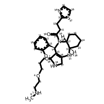 CNCCOCCOc1ccccc1[C@@H]1C2=C(CNC2=O)N[C@@H]2CCCC[C@H]2N1C(=O)CCc1nccs1